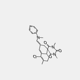 CC1=C(Cl)C2=C/C(=C/N(C)c3ccccc3)CC3(C(=O)N(C)C(=O)N(C)C3=O)C2CC1